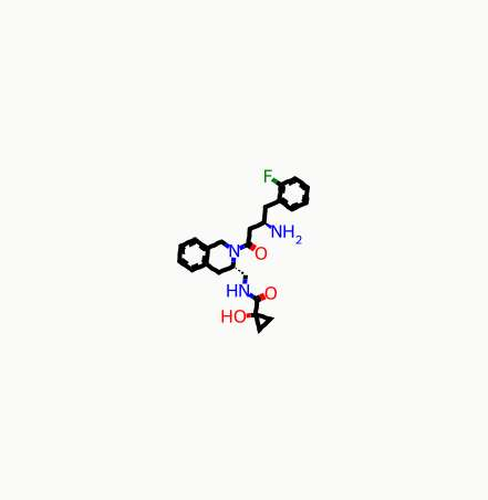 N[C@@H](CC(=O)N1Cc2ccccc2C[C@H]1CNC(=O)C1(O)CC1)Cc1ccccc1F